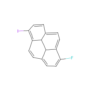 FC1=CC=C2C=CC3=C(I)C=CC4=CC=C1C2C43